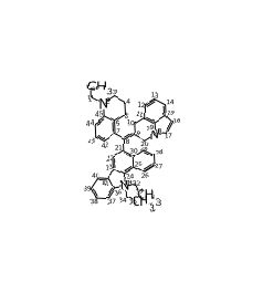 CCN1CCCc2c(C(=C3Cc4cccc5ccn(c45)C3)c3cc4c(c5ccccc35)[N+](CC)(CC)c3ccccc3-4)cccc21